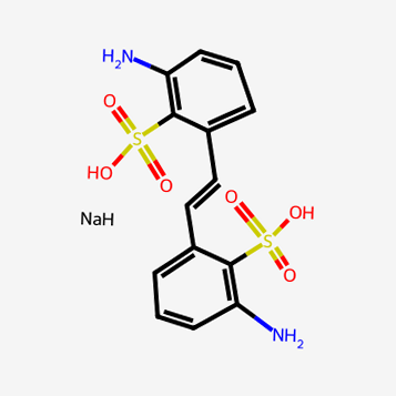 Nc1cccc(/C=C/c2cccc(N)c2S(=O)(=O)O)c1S(=O)(=O)O.[NaH]